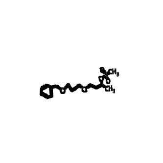 CC(CCOCCCOCc1ccccc1)OS(C)(=O)=O